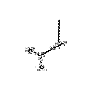 CCCCCCCCCCCCCCCCC(=O)NC(CCC(=O)O)C(=O)NCCNC(=O)CCCCCNC(=O)CN(CC(=O)NCCO[C@@H]1O[C@@H](C)[C@@H](O)[C@@H](O)[C@@H]1O)CC(=O)NCCO[C@@H]1O[C@@H](C)[C@@H](O)[C@@H](O)[C@@H]1O